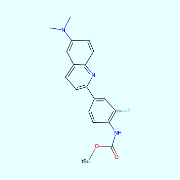 CN(C)c1ccc2nc(-c3ccc(NC(=O)OC(C)(C)C)c(F)c3)ccc2c1